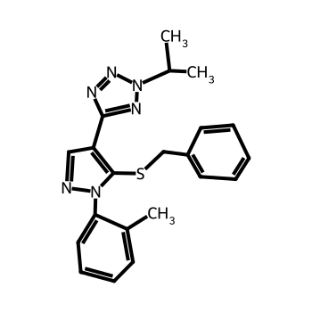 Cc1ccccc1-n1ncc(-c2nnn(C(C)C)n2)c1SCc1ccccc1